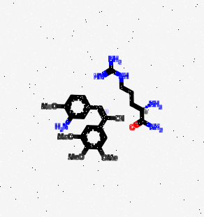 COc1ccc(/C=C(/C#N)c2cc(OC)c(OC)c(OC)c2)cc1N.N=C(N)NCCC[C@H](N)C(N)=O